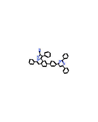 N#Cc1nn2c(-c3ccccc3)cc3ccc(-c4ccc(-c5cc(-c6ccccc6)nc(-c6ccccc6)n5)cc4)cc3c2c1-c1ccccc1